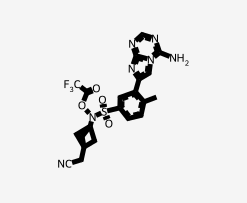 Cc1ccc(S(=O)(=O)N(OC(=O)C(F)(F)F)C23CC(CC#N)(C2)C3)cc1-c1cn2c(N)ncnc2n1